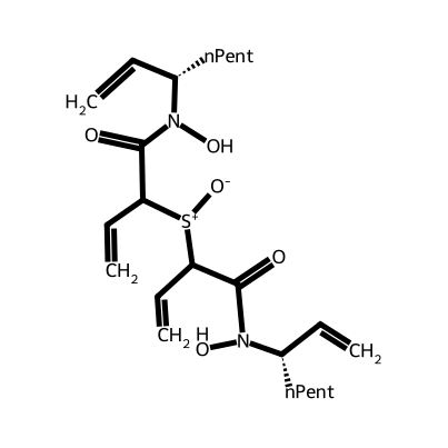 C=CC(C(=O)N(O)[C@H](C=C)CCCCC)[S+]([O-])C(C=C)C(=O)N(O)[C@H](C=C)CCCCC